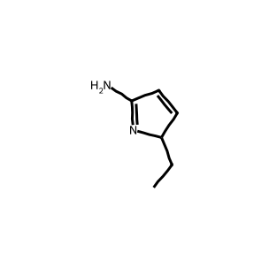 CCC1C=CC(N)=N1